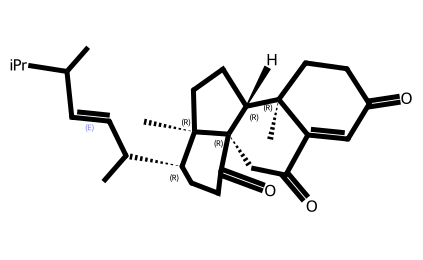 CC(C)C(C)/C=C/C(C)[C@H]1CCC(=O)[C@]23CC(=O)C4=CC(=O)CC[C@]4(C)[C@H]2CC[C@]13C